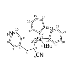 CC(C)(C)[Si](OC(C#N)Cc1ccncc1)(c1ccccc1)c1ccccc1